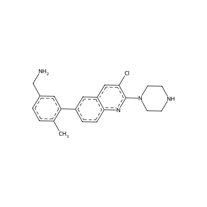 Cc1ccc(CN)cc1-c1ccc2nc(N3CCNCC3)c(Cl)cc2c1